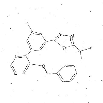 Fc1cc(-c2nnc(C(F)F)o2)cc(-c2ncccc2OCc2ccccc2)c1